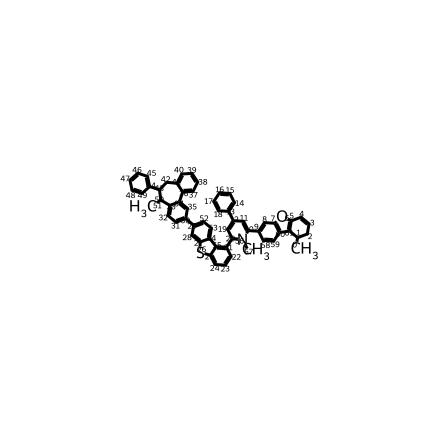 CC1CC=Cc2oc3cc(C4=CC(c5ccccc5)=CC(c5cccc6sc7cc(-c8ccc9c(c8)-c8ccccc8CC(c8ccccc8)C9C)ccc7c56)N4C)ccc3c21